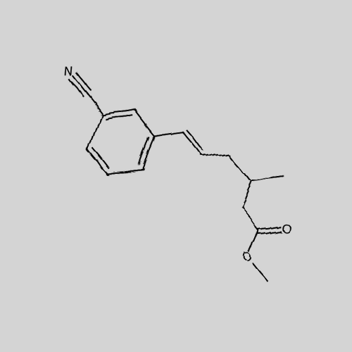 COC(=O)CC(C)C/C=C/c1cccc(C#N)c1